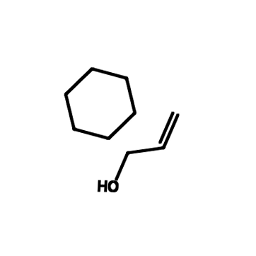 C1CCCCC1.C=CCO